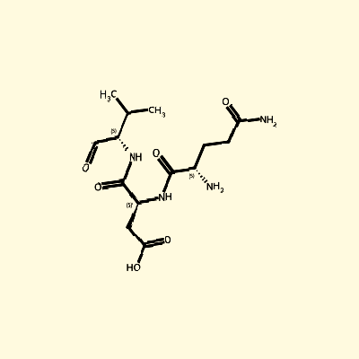 CC(C)[C@@H]([C]=O)NC(=O)[C@H](CC(=O)O)NC(=O)[C@@H](N)CCC(N)=O